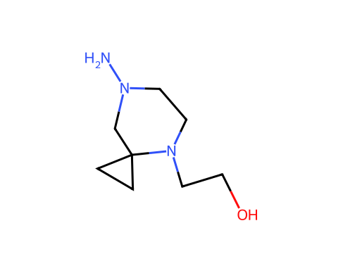 NN1CCN(CCO)C2(CC2)C1